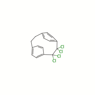 ClC1(Cl)c2ccc(cc2)CCc2ccc(cc2)C1(Cl)Cl